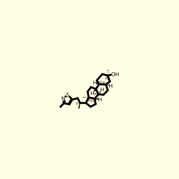 Cc1cc(C[C@H](C)C2CC[C@H]3[C@@H]4CC[C@@H]5C[C@](C)(O)CC[C@@H]5[C@H]4CC[C@]23C)sn1